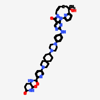 C[C@@]1(O)CC/C=C\Cn2c(=O)c3cnc(Nc4ccc(N5CCN(C6CCC7(CC6)CCN(c6ccc(C(=O)NC8CCC(=O)NC8=O)nc6)CC7)CC5)cc4)nc3n2-c2cccc1n2